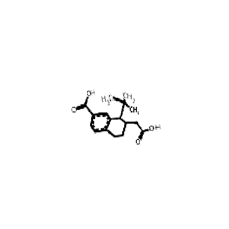 CC(C)(C)C1c2cc(C(=O)O)ccc2CCC1CC(=O)O